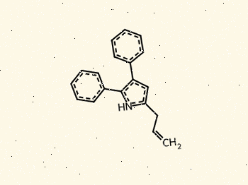 C=CCc1cc(-c2ccccc2)c(-c2ccccc2)[nH]1